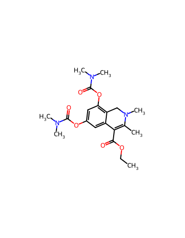 CCOC(=O)C1=C(C)N(C)Cc2c(OC(=O)N(C)C)cc(OC(=O)N(C)C)cc21